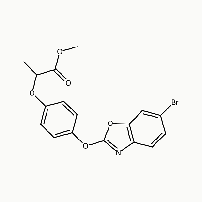 COC(=O)C(C)Oc1ccc(Oc2nc3ccc(Br)cc3o2)cc1